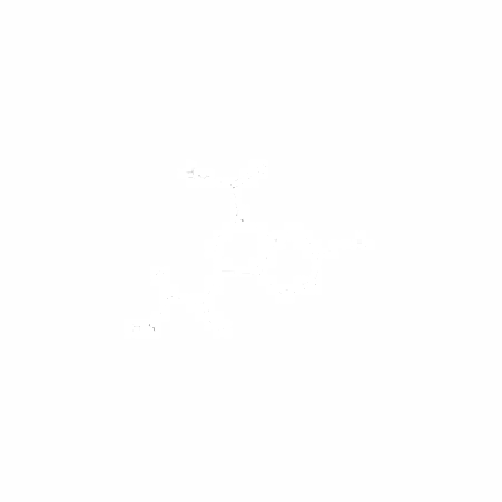 CC(C)(C)C(=O)n1cc(C(=O)C(N)=O)c2ccc(Br)cc21